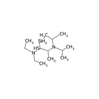 CCN(CC)[SiH]([SiH3])C(C)N(C(C)C)C(C)C